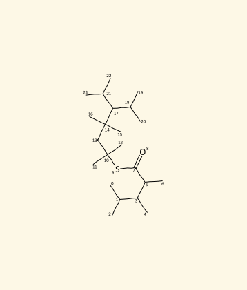 CC(C)C(C)C(C)C(=O)SC(C)(C)CC(C)(C)C(C(C)C)C(C)C